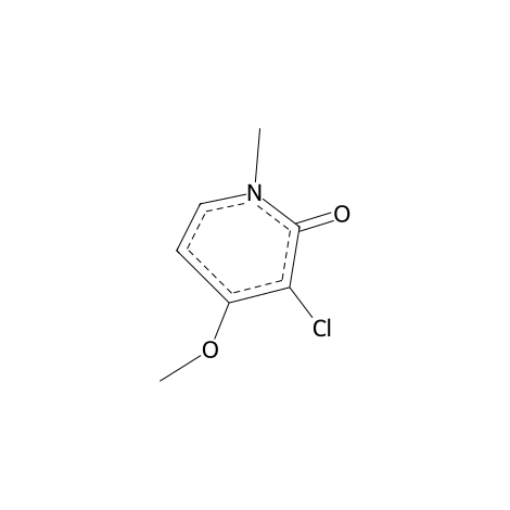 COc1ccn(C)c(=O)c1Cl